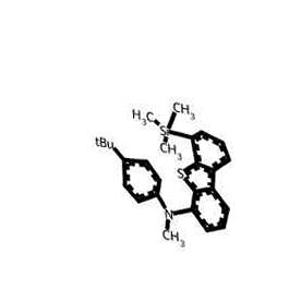 CN(c1ccc(C(C)(C)C)cc1)c1cccc2c1sc1c([Si](C)(C)C)cccc12